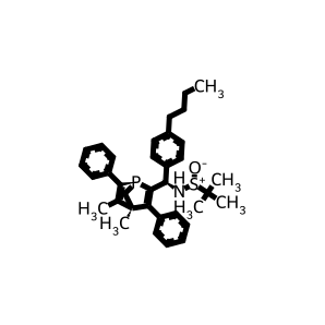 CCCCc1ccc([C@@H](N[S+]([O-])C(C)(C)C)C2=C(c3ccccc3)[C@]3(C)C[P@@]2C(c2ccccc2)=C3C)cc1